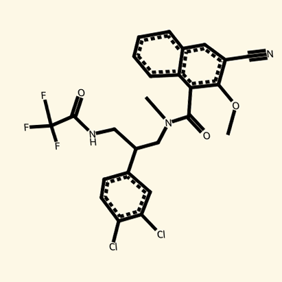 COc1c(C#N)cc2ccccc2c1C(=O)N(C)CC(CNC(=O)C(F)(F)F)c1ccc(Cl)c(Cl)c1